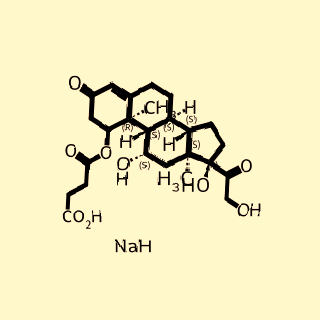 C[C@]12C[C@H](O)[C@H]3[C@@H](CCC4=CC(=O)CC(OC(=O)CCC(=O)O)[C@@]43C)[C@@H]1CC[C@]2(O)C(=O)CO.[NaH]